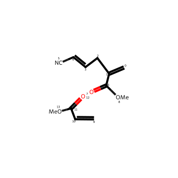 C=C(CC=CC#N)C(=O)OC.C=CC(=O)OC